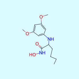 CCCCC(Nc1cc(OC)cc(OC)c1)C(=O)NO